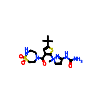 CC(C)(C)c1cc(C(=O)N2CCNS(=O)(=O)CC2)c([N+]2(C)C=CC(NC(N)=O)=N2)s1